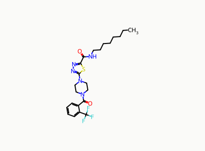 CCCCCCCCNC(=O)c1nnc(N2CCN(C(=O)c3ccccc3C(F)(F)F)CC2)s1